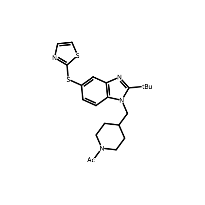 CC(=O)N1CCC(Cn2c(C(C)(C)C)nc3cc(Sc4nccs4)ccc32)CC1